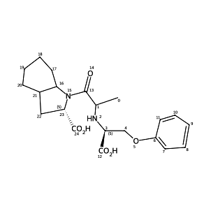 CC(N[C@@H](COc1ccccc1)C(=O)O)C(=O)N1C2CCCCC2C[C@H]1C(=O)O